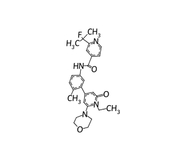 CCn1c(N2CCOCC2)cc(-c2cc(NC(=O)c3ccnc(C(C)(C)F)c3)ccc2C)cc1=O